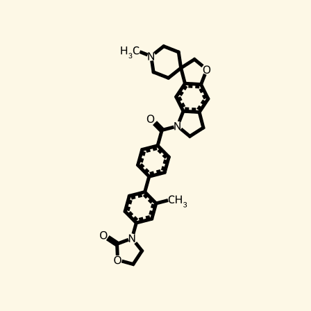 Cc1cc(N2CCOC2=O)ccc1-c1ccc(C(=O)N2CCc3cc4c(cc32)C2(CCN(C)CC2)CO4)cc1